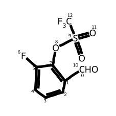 O=Cc1cccc(F)c1OS(=O)(=O)C(F)(F)F